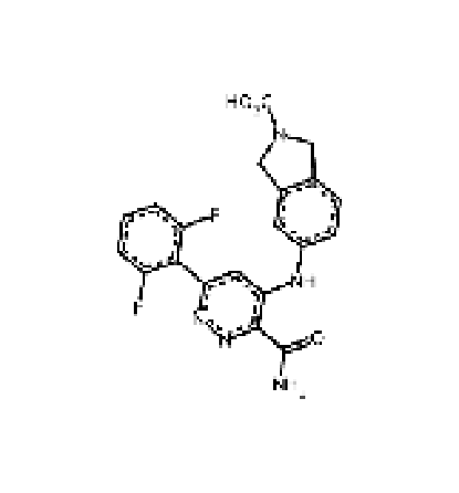 NC(=O)c1nnc(-c2c(F)cccc2F)cc1Nc1ccc2c(c1)CN(C(=O)O)C2